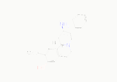 COc1cc2c(cc1O)CCN1C[C@@H](c3ccccc3)[C@H](N)C[C@H]21